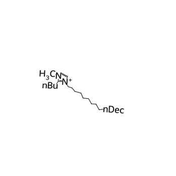 CCCCCCCCCCCCCCCCCCC[n+]1ccn(C)c1CCCC